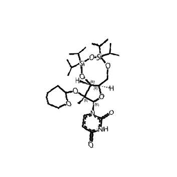 CC(C)[Si]1(C(C)C)OC[C@H]2O[C@@H](n3ccc(=O)[nH]c3=O)[C@](C)(OC3CCCCO3)[C@@H]2O[Si](C(C)C)(C(C)C)O1